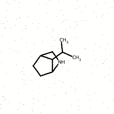 CC(C)C1C2CCC1NC2